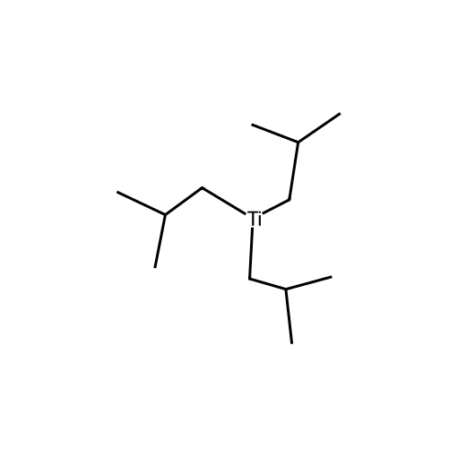 CC(C)[CH2][Ti]([CH2]C(C)C)[CH2]C(C)C